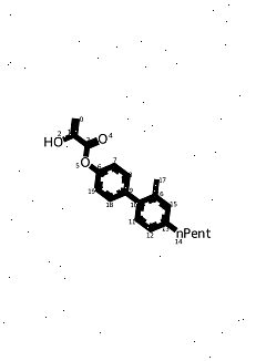 C=C(O)C(=O)Oc1ccc(-c2ccc(CCCCC)cc2C)cc1